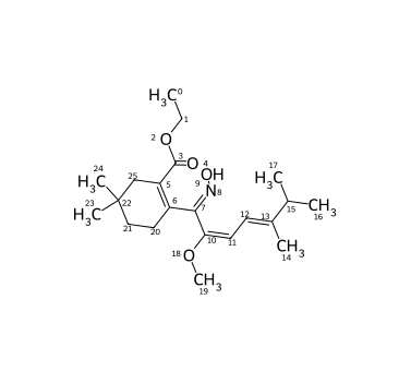 CCOC(=O)C1=C(C(=N\O)/C(=C\C=C(/C)C(C)C)OC)CCC(C)(C)C1